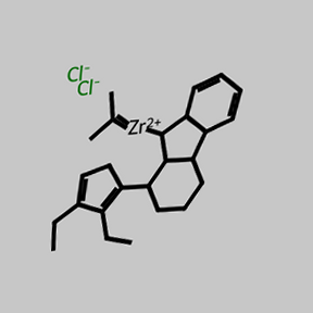 CCC1=CCC(C2CCCC3C4C=CC=CC4[CH]([Zr+2]=[C](C)C)C23)=C1CC.[Cl-].[Cl-]